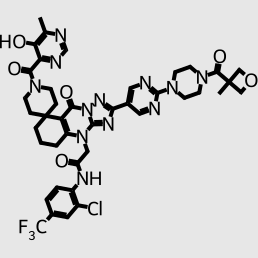 Cc1ncnc(C(=O)N2CCC3(CCCc4c3c(=O)n3nc(-c5cnc(N6CCN(C(=O)C7(C)COC7)CC6)nc5)nc3n4CC(=O)Nc3ccc(C(F)(F)F)cc3Cl)CC2)c1O